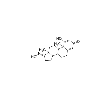 CC12CCC3C(CCC4=CC(=O)C=C(O)C43C)C1CCC2=NO